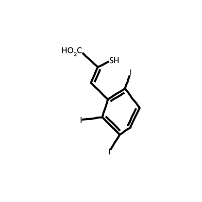 O=C(O)C(S)=Cc1c(I)ccc(I)c1I